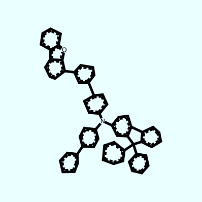 c1ccc(-c2ccc(N(c3ccc(-c4cccc(-c5cccc6c5oc5ccccc56)c4)cc3)c3ccc4c(c3)C(c3ccccc3)(c3ccccc3)c3ccccc3-4)cc2)cc1